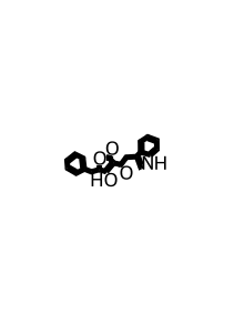 O=C(Cc1c[nH]c2ccccc12)C1=C(O)C(Cc2ccccc2)OC1=O